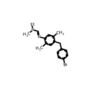 CCN(C)C=Nc1cc(C)c(Cc2ccc(Br)cc2)cc1C